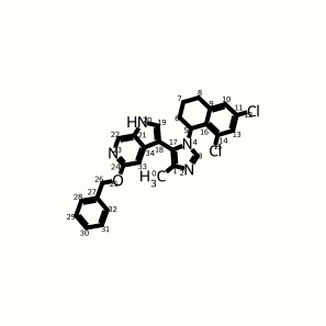 Cc1ncn(C2CCCc3cc(Cl)cc(Cl)c32)c1-c1c[nH]c2cnc(OCc3ccccc3)cc12